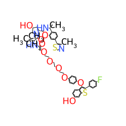 Cc1ncsc1-c1ccc([C@H](C)NC(=O)[C@@H]2C[C@@H](O)CN2C(=O)[C@@H](NC(=O)COCCOCCOCCOc2ccc(Oc3c(-c4ccc(F)cc4)sc4cc(O)ccc34)cc2)C(C)(C)C)cc1